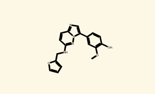 COc1cc(-c2cnc3ccc(NCc4ccco4)nn23)ccc1O